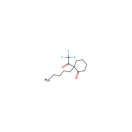 CCCCCC1(C(=O)C(F)(F)F)CCCCC1=O